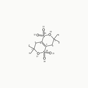 CC1(C)CC2=C(CC(C)(C)OS2(=O)=O)S(=O)(=O)O1